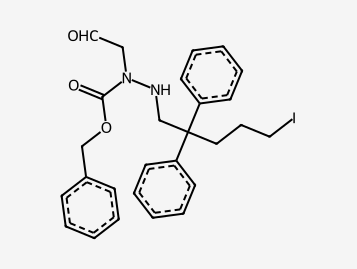 O=CCN(NCC(CCCI)(c1ccccc1)c1ccccc1)C(=O)OCc1ccccc1